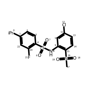 CC(C)c1ccc(S(=O)(=O)Nc2cc(Cl)ccc2S(C)(=O)=O)c(F)c1